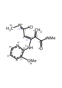 C=C(C(=O)NC)/C(=C\C(Cl)=N/C)Nc1ncccc1OC